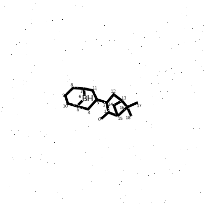 CC1C(C2CC3BC(CCC3)C2)CC2CC1C2(C)C